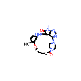 N#Cc1ccc2cc1OCCCCC(=O)N1CCN(CC1)c1ncnc3c1/C(=C/N2)C(=O)N3